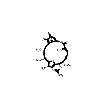 CO[C@H]1/C=C\C=C(/C)C(=O)NC2=CC(=O)C(N)=C(C[C@@H](C)C[C@H](OC)[C@H]3OC(=C[C@@H]3C)[C@@H]1OC(N)=O)C2=O